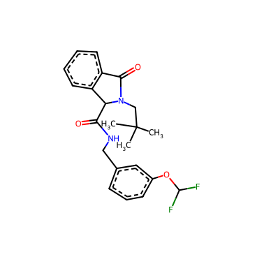 CC(C)(C)CN1C(=O)c2ccccc2C1C(=O)NCc1cccc(OC(F)F)c1